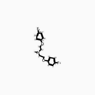 CN(CCOc1ccc(F)cc1)CCOc1ccc(F)cc1